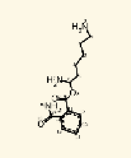 NCCCCCC(N)OC(=O)c1ccccc1C(N)=O